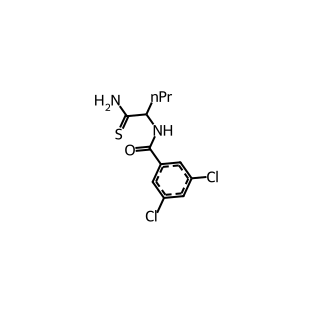 CCCC(NC(=O)c1cc(Cl)cc(Cl)c1)C(N)=S